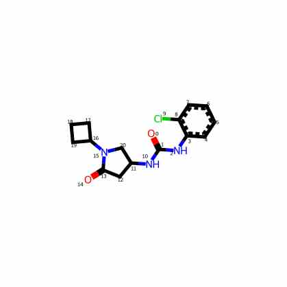 O=C(Nc1ccccc1Cl)NC1CC(=O)N(C2CCC2)C1